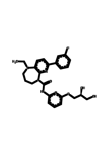 CCN1CCCN(C(=O)Nc2cccc(OC[C@@H](O)CO)n2)c2nc(-c3cccc(Cl)c3)ccc21